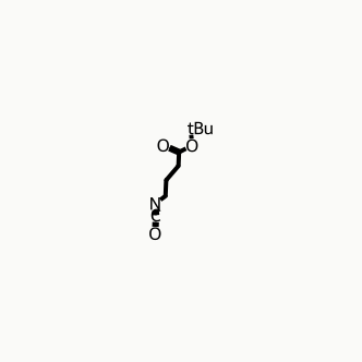 CC(C)(C)OC(=O)CCCN=C=O